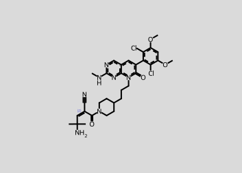 CNc1ncc2cc(-c3c(Cl)c(OC)cc(OC)c3Cl)c(=O)n(CCCC3CCN(C(=O)/C(C#N)=C\C(C)(C)N)CC3)c2n1